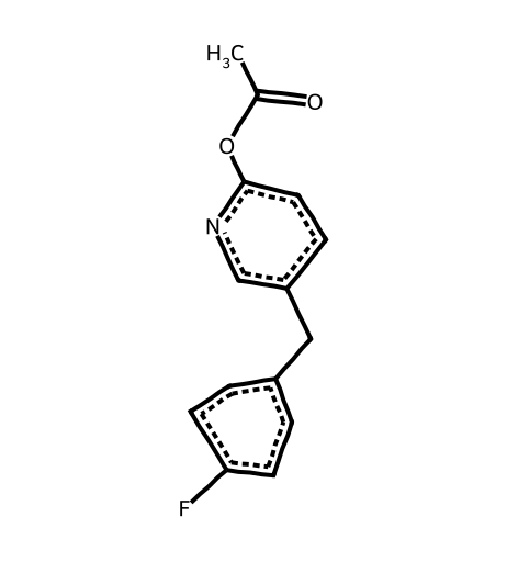 CC(=O)Oc1ccc(Cc2ccc(F)cc2)cn1